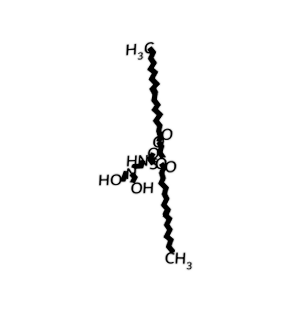 CCCCCCCCC=CCCCCCCCC(=O)OCC(COC(=O)CCCCCCCC=CCCCCCCCC)OC(=S)NCCN(CCO)CCO